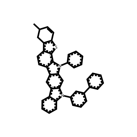 CC1C=Cc2sc3c(ccc4c5cc6c7ccccc7n(-c7cccc(-c8ccccc8)c7)c6cc5n(-c5ccccc5)c43)c2C1